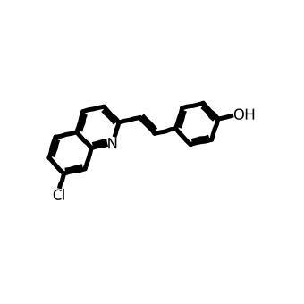 Oc1ccc(C=Cc2ccc3ccc(Cl)cc3n2)cc1